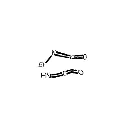 CCN=C=O.N=C=O